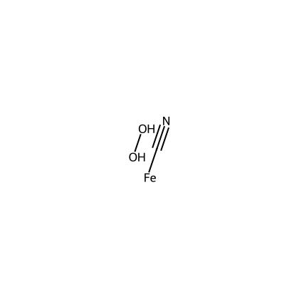 N#[C][Fe].OO